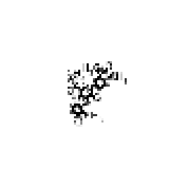 CCOC(=O)c1cn(-c2ccc3c(c2)n(C)c(=O)n3C)c(=O)n(Cc2cccc(Cl)c2C)c1=O